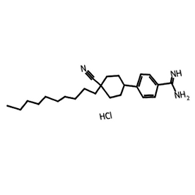 CCCCCCCCCCC1(C#N)CCC(c2ccc(C(=N)N)cc2)CC1.Cl